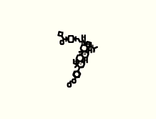 C=C(C)[C@@H]1CC[C@]2(NCCN3CCN(C(=O)C4CCC4)CC3)CC[C@]3(C)[C@H](CC[C@@H]4[C@@]5(C)CC=C(c6ccc(OC=O)cc6)C(C)(C)[C@@H]5CC[C@]43C)[C@@H]12